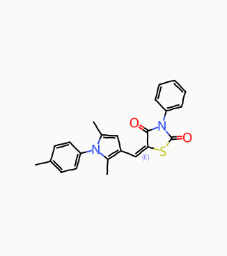 Cc1ccc(-n2c(C)cc(/C=C3/SC(=O)N(c4ccccc4)C3=O)c2C)cc1